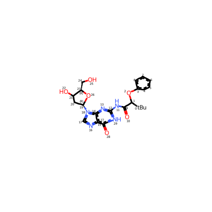 CC(C)(C)C(Oc1ccccc1)C(=O)Nc1nc2c(ncn2[C@H]2CC(O)[C@@H](CO)O2)c(=O)[nH]1